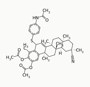 CC(=O)Nc1ccc(SC2C=C3[C@@](C)(CC[C@@]4(C)[C@@H]5C[C@](C)(C#N)CC[C@]5(C)CC[C@]34C)c3cc(OC(C)=O)c(OC(C)=O)c(C)c32)cc1